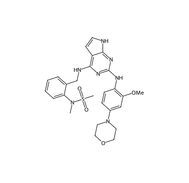 COc1cc(N2CCOCC2)ccc1Nc1nc(NCc2ccccc2N(C)S(C)(=O)=O)c2cc[nH]c2n1